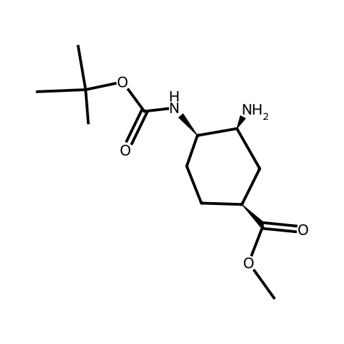 COC(=O)[C@H]1CC[C@@H](NC(=O)OC(C)(C)C)[C@@H](N)C1